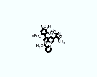 CCCOc1cc(C(=O)O)cc(OCCC)c1-c1cn([C@@H](C)c2ccccn2)c2ncc(-c3c(C)noc3C)cc12